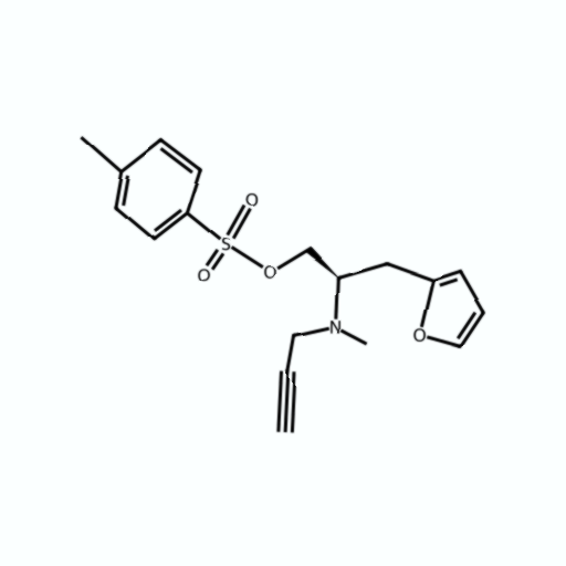 C#CCN(C)[C@@H](COS(=O)(=O)c1ccc(C)cc1)Cc1ccco1